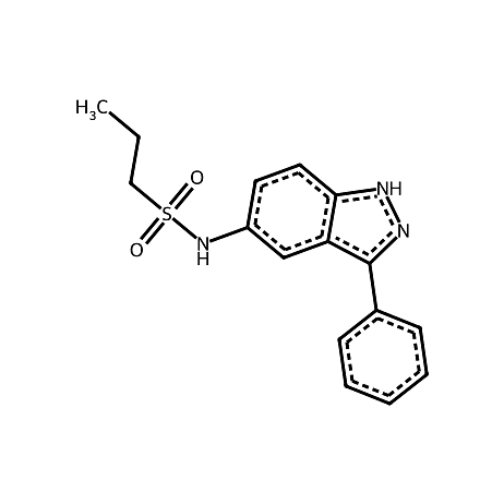 CCCS(=O)(=O)Nc1ccc2[nH]nc(-c3ccccc3)c2c1